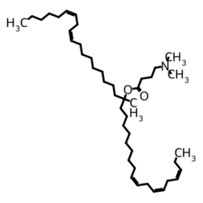 CC/C=C\C/C=C\C/C=C\CCCCCCCCC(C)(CCCCCCCC/C=C\C/C=C\CCCCC)OC(=O)CCCN(C)C